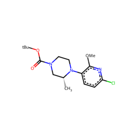 COc1nc(Cl)ccc1N1CCN(C(=O)OC(C)(C)C)C[C@H]1C